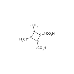 CC1C(C)C(C(=O)O)C1C(=O)O